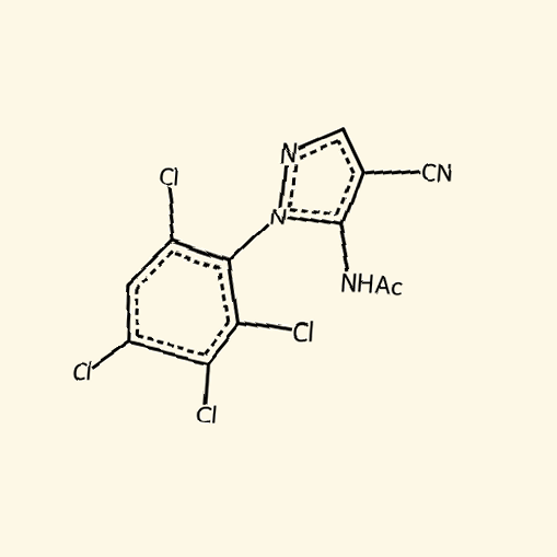 CC(=O)Nc1c(C#N)cnn1-c1c(Cl)cc(Cl)c(Cl)c1Cl